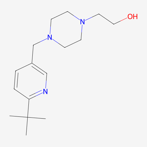 CC(C)(C)c1ccc(CN2CCN(CCO)CC2)cn1